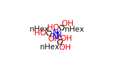 CCCCCCc1cc(-c2nc(-c3cc(CCCCCC)c(O)cc3O)nc(-c3cc(CCCCCC)c(O)cc3O)n2)c(O)cc1O